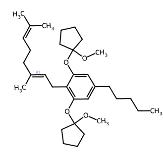 CCCCCc1cc(OC2(OC)CCCC2)c(C/C=C(\C)CCC=C(C)C)c(OC2(OC)CCCC2)c1